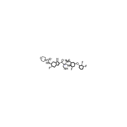 Cc1cc(Oc2cccc(F)c2F)cc(F)c1N/C(N)=C(\C=N)C(=O)c1cc2cc(F)c(N[S+]([O-])N3CCOCC3)cc2[nH]1